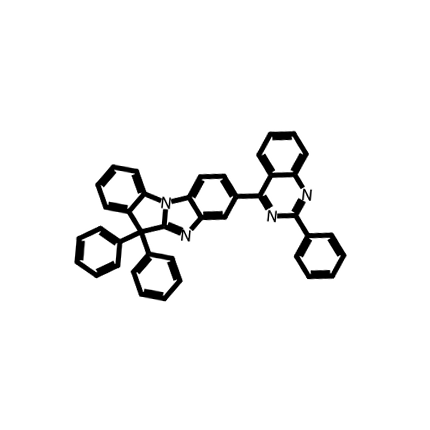 c1ccc(-c2nc(-c3ccc4c(c3)nc3n4-c4ccccc4C3(c3ccccc3)c3ccccc3)c3ccccc3n2)cc1